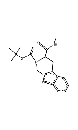 CNC(=O)C1Cc2c([nH]c3ccccc23)CN1C(=O)OC(C)(C)C